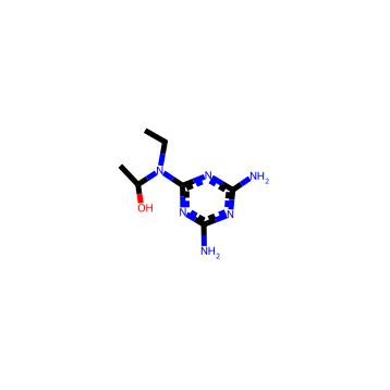 CCN(c1nc(N)nc(N)n1)C(C)O